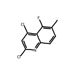 Cc1ccc2nc(Cl)cc(Cl)c2c1F